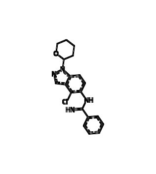 N=C(Nc1ccc2c(cnn2C2CCCCO2)c1Cl)c1ccccc1